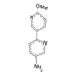 COc1ccc(-c2ccc(N)cn2)cn1